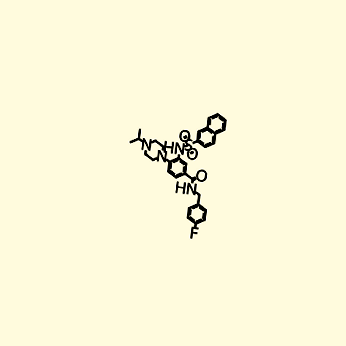 CC(C)N1CCN(c2ccc(C(=O)NCc3ccc(F)cc3)cc2NS(=O)(=O)c2ccc3ccccc3c2)CC1